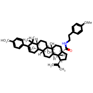 C=C(C)[C@@H]1CC[C@]2(C(=O)NCCc3ccc(OC)cc3)CC[C@]3(C)[C@H](CC[C@@H]4[C@@]5(C)CC=C(c6ccc(C(=O)O)cc6)C(C)(C)[C@@H]5CC[C@]43C)[C@@H]12